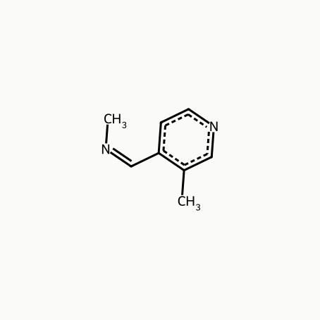 C/N=C\c1ccncc1C